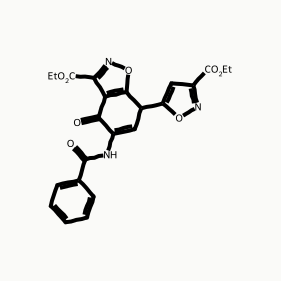 CCOC(=O)c1cc(C2C=C(NC(=O)c3ccccc3)C(=O)c3c(C(=O)OCC)noc32)on1